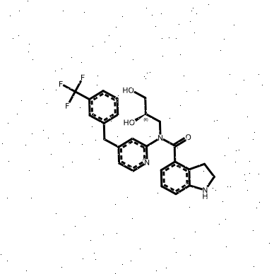 O=C(c1cccc2c1CCN2)N(C[C@@H](O)CO)c1cc(Cc2cccc(C(F)(F)F)c2)ccn1